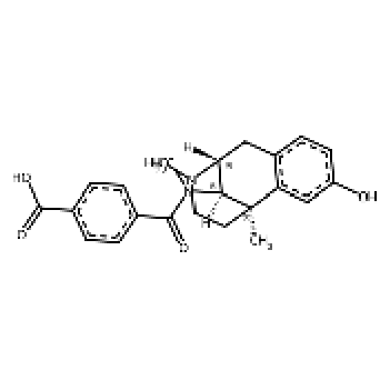 CN1CC[C@]2(C)c3cc(O)ccc3C[C@@H]1[C@@H]2N(C)C(=O)c1ccc(C(=O)O)cc1